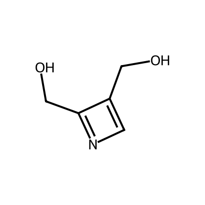 OCC1=CN=C1CO